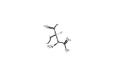 CC[C@@](C)(C(C)=O)[C@H](N)C(=O)O